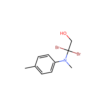 Cc1ccc(N(C)C(Br)(Br)CO)cc1